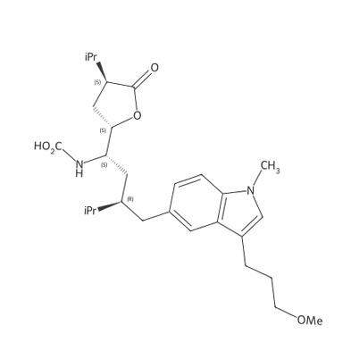 COCCCc1cn(C)c2ccc(C[C@H](C[C@H](NC(=O)O)[C@@H]3C[C@@H](C(C)C)C(=O)O3)C(C)C)cc12